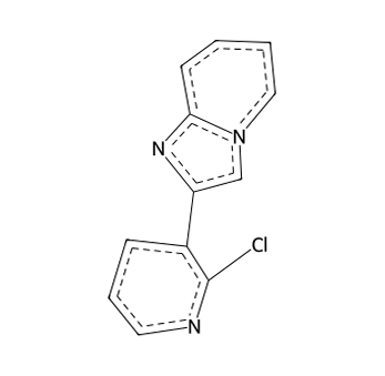 Clc1ncccc1-c1cn2ccccc2n1